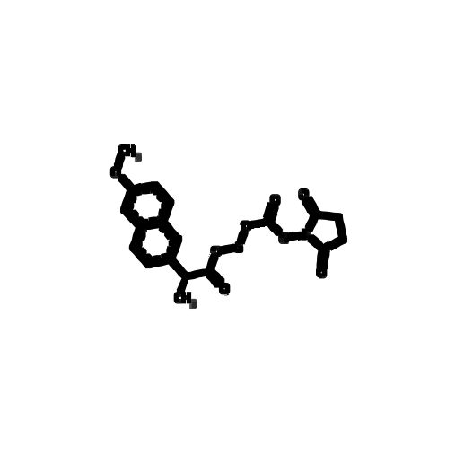 COc1ccc2cc([C@H](C)C(=O)OSOC(=O)ON3C(=O)CCC3=O)ccc2c1